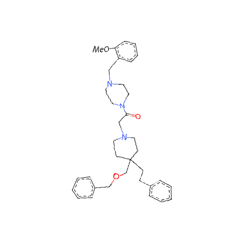 COc1ccccc1CN1CCN(C(=O)CN2CCC(CCc3ccccc3)(COCc3ccccc3)CC2)CC1